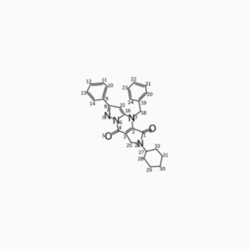 O=C1c2c(c(=O)n3nc(-c4ccccc4)cc3n2Cc2ccccc2)CN1C1CCCCC1